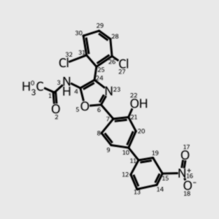 CC(=O)Nc1oc(-c2ccc(-c3cccc([N+](=O)[O-])c3)cc2O)nc1-c1c(Cl)cccc1Cl